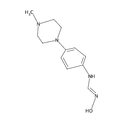 CN1CCN(c2ccc(N/C=N/O)cc2)CC1